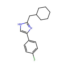 Fc1ccc(-c2c[nH]c(CC3CCCCC3)n2)cc1